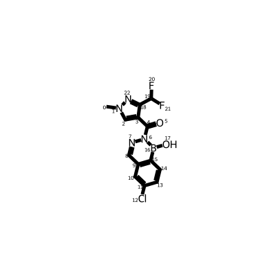 Cn1cc(C(=O)N2N=Cc3cc(Cl)ccc3B2O)c(C(F)F)n1